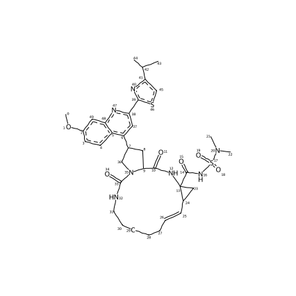 COc1ccc2c(C3CC4C(=O)NC5(C(=O)NS(=O)(=O)N(C)C)CC5/C=C/CCCCCNC(=O)N4C3)cc(-c3nc(C(C)C)cs3)nc2c1